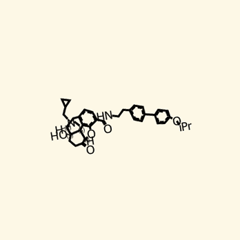 CC(C)Oc1ccc(-c2ccc(CCNC(=O)c3ccc4c5c3O[C@H]3C(=O)CC[C@@]6(O)[C@@H](C4)N(CC4CC4)CC[C@]536)cc2)cc1